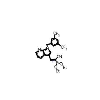 CCOP(OCC)/C(C#N)=C/c1cn(Cc2cc(C(F)(F)F)cc(C(F)(F)F)c2)c2ncccc12